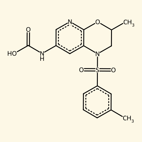 Cc1cccc(S(=O)(=O)N2CC(C)Oc3ncc(NC(=O)O)cc32)c1